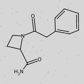 NC(=O)C1[CH]CN1C(=O)Cc1ccccc1